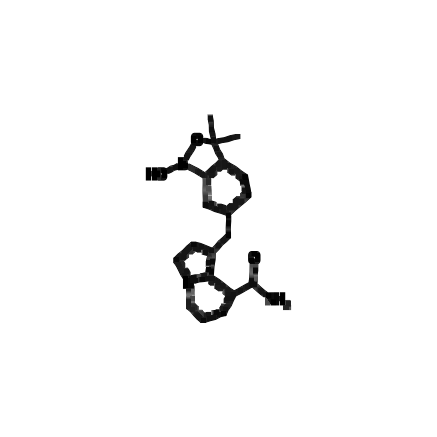 CC1(C)OB(O)c2cc(Cc3ccn4cccc(C(N)=O)c34)ccc21